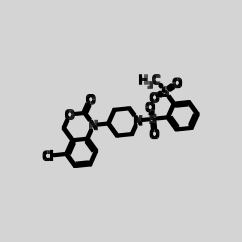 CS(=O)(=O)c1ccccc1S(=O)(=O)N1CCC(N2C(=O)OCc3c(Cl)cccc32)CC1